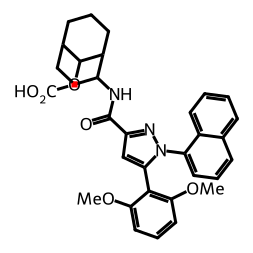 COc1cccc(OC)c1-c1cc(C(=O)NC2CCC3CCCC2C3OC(=O)O)nn1-c1cccc2ccccc12